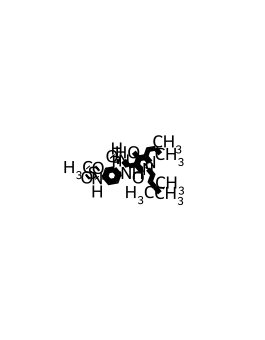 CC(C)Cc1nn(CCC(C)(C)C)c(=O)c(C2=N[PH](=O)c3cc(NS(C)(=O)=O)ccc3N2)c1O